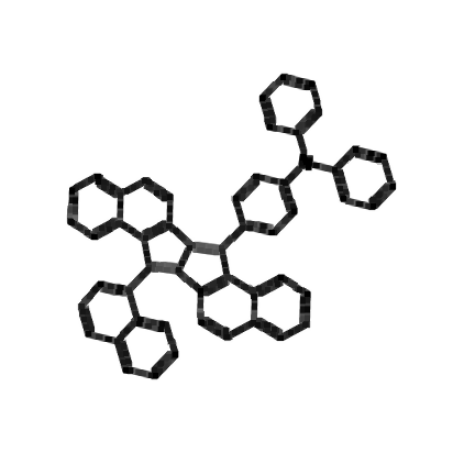 c1ccc(N(c2ccccc2)c2ccc(C3=C4C(=C(c5cccc6ccccc56)c5c4ccc4ccccc54)c4ccc5ccccc5c43)cc2)cc1